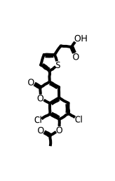 CC(=O)Oc1c(Cl)cc2cc(-c3ccc(CC(=O)O)s3)c(=O)oc2c1Cl